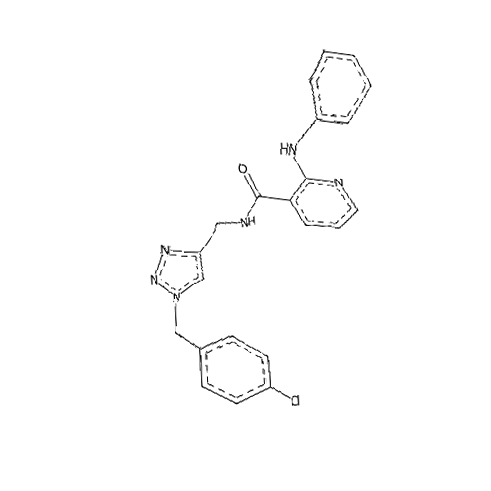 O=C(NCc1cn(Cc2ccc(Cl)cc2)nn1)c1cccnc1Nc1ccccc1